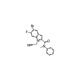 CN(C(=O)c1cc2cc(Br)c(F)cc2n1CC#N)c1ccccc1